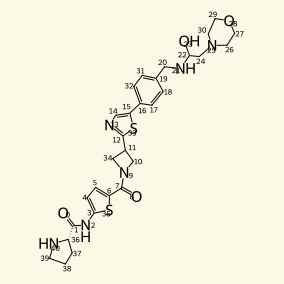 O=C(Nc1ccc(C(=O)N2CC(c3ncc(-c4ccc(CNC(O)CN5CCOCC5)cc4)s3)C2)s1)[C@@H]1CCCN1